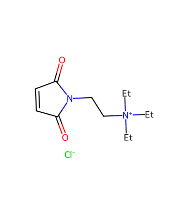 CC[N+](CC)(CC)CCN1C(=O)C=CC1=O.[Cl-]